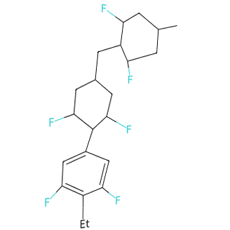 CCc1c(F)cc(C2C(F)CC(CC3C(F)CC(C)CC3F)CC2F)cc1F